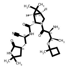 C[C@@H](OC1(C)CCC1)[C@H](N)C(=O)N1C[C@H]2[C@@H]([C@H]1C(=O)N[C@H](C#N)C[C@@H]1CC(C)(C)NC1=O)C2(C)C